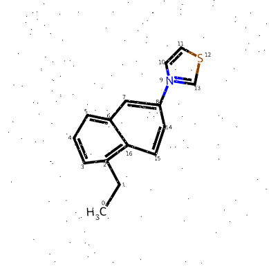 CCc1cccc2cc(-[n+]3ccsc3)ccc12